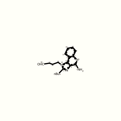 CCCCc1nc2c(N)nc3ccccc3c2n1CCCC=O